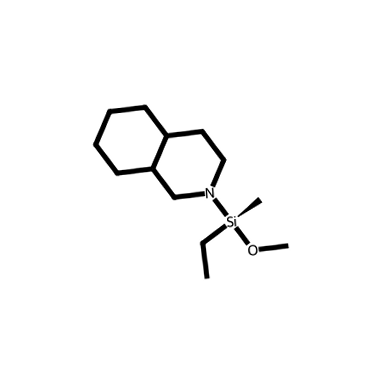 CC[Si@@](C)(OC)N1CCC2CCCCC2C1